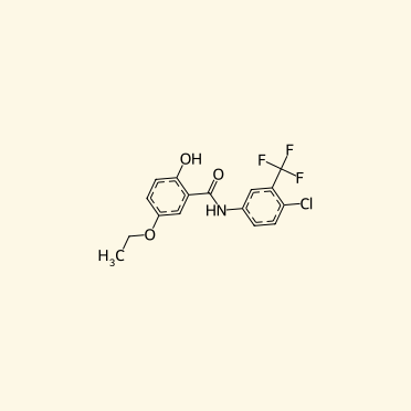 CCOc1ccc(O)c(C(=O)Nc2ccc(Cl)c(C(F)(F)F)c2)c1